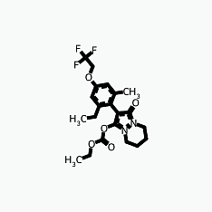 CCOC(=O)Oc1c(-c2c(C)cc(OCC(F)(F)F)cc2CC)c(=O)n2n1CCCC2